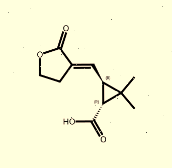 CC1(C)[C@H](C=C2CCOC2=O)[C@H]1C(=O)O